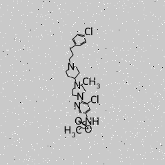 C[C@H]1CN(c2ncc(NS(C)(=O)=O)cc2Cl)CCN1C1CCN(CCCc2ccc(Cl)cc2)CC1